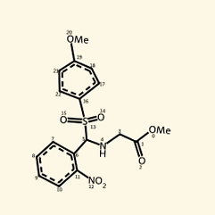 COC(=O)CNC(c1ccccc1[N+](=O)[O-])S(=O)(=O)c1ccc(OC)cc1